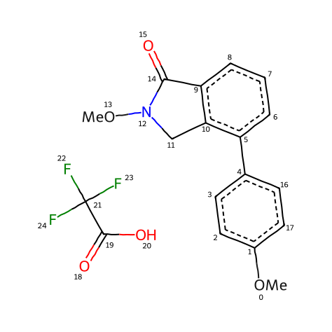 COc1ccc(-c2cccc3c2CN(OC)C3=O)cc1.O=C(O)C(F)(F)F